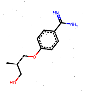 C[C@H](CO)COc1ccc(C(=N)N)cc1